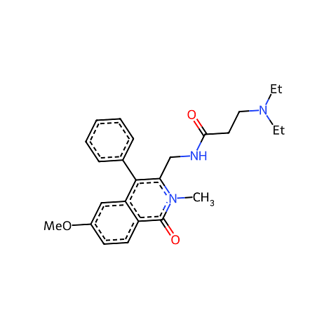 CCN(CC)CCC(=O)NCc1c(-c2ccccc2)c2cc(OC)ccc2c(=O)n1C